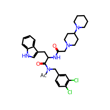 CC(=O)N(Cc1ccc(Cl)c(Cl)c1)C(=O)C(Cc1c[nH]c2ccccc12)NC(=O)CN1CCC(N2CCCCC2)CC1